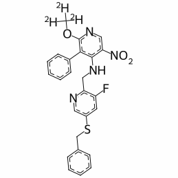 [2H]C([2H])([2H])Oc1ncc([N+](=O)[O-])c(NCc2ncc(SCc3ccccc3)cc2F)c1-c1ccccc1